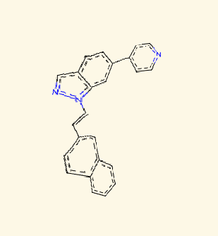 C(=Cn1ncc2ccc(-c3ccncc3)cc21)c1ccc2ccccc2c1